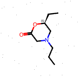 CCCN1CC(=O)O[C@@H](CC)C1